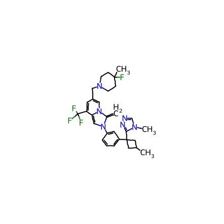 C=C1N2C=C(CN3CCC(C)(F)CC3)C=C(C(F)(F)F)C2=CN1c1cccc(C2(c3nncn3C)CC(C)C2)c1